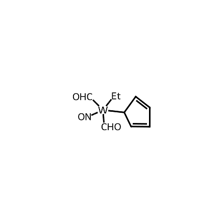 C[CH2][W]([CH]=O)([CH]=O)([N]=O)[CH]1C=CC=C1